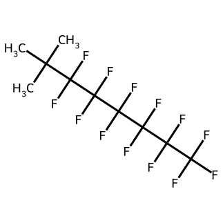 CC(C)(C)C(F)(F)C(F)(F)C(F)(F)C(F)(F)C(F)(F)C(F)(F)F